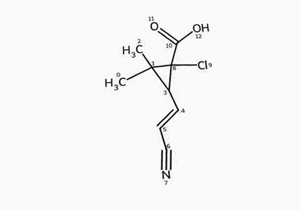 CC1(C)C(C=CC#N)C1(Cl)C(=O)O